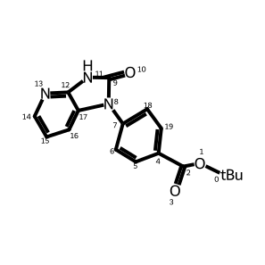 CC(C)(C)OC(=O)c1ccc(-n2c(=O)[nH]c3ncccc32)cc1